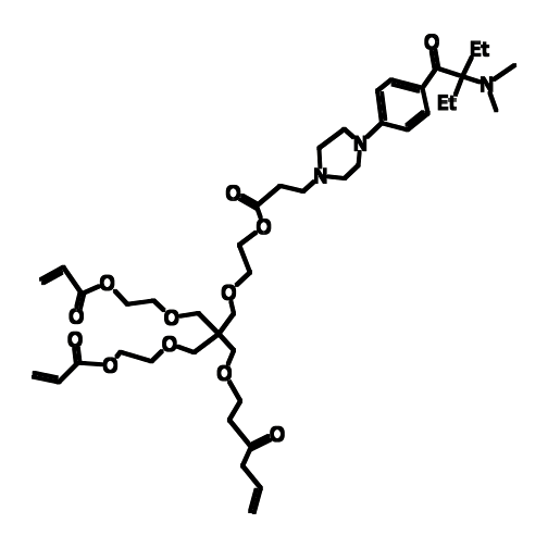 C=CCC(=O)CCOCC(COCCOC(=O)C=C)(COCCOC(=O)C=C)COCCOC(=O)CCN1CCN(c2ccc(C(=O)C(CC)(CC)N(C)C)cc2)CC1